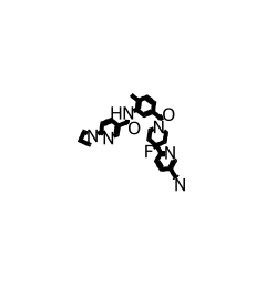 Cc1ccc(C(=O)N2CCC(F)(c3ccc(C#N)cn3)CC2)cc1NC(=O)c1ccc(N2CCC2)nc1